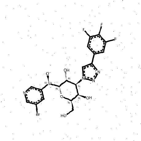 [O-][S@+](c1cncc(Br)c1)[C@H]1O[C@H](CO)[C@H](O)[C@H](n2cc(-c3cc(F)c(F)c(F)c3)nn2)[C@H]1O